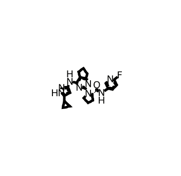 O=C(Nc1ccc(F)nc1)[C@@H]1CCCN1c1nc2c(c(Nc3cc(C4CC4)[nH]n3)n1)CCC2